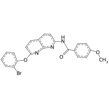 COc1ccc(C(=O)Nc2ccc3ccc(Oc4ccccc4Br)nc3n2)cc1